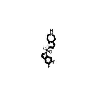 O=S(=O)(c1ccc2c(c1)CCNCC2)n1ccc2cc(F)c(F)cc21